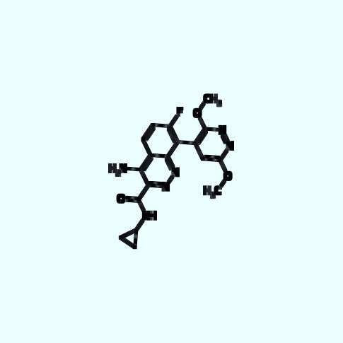 COc1cc(-c2c(F)ccc3c(N)c(C(=O)NC4CC4)nnc23)c(OC)nn1